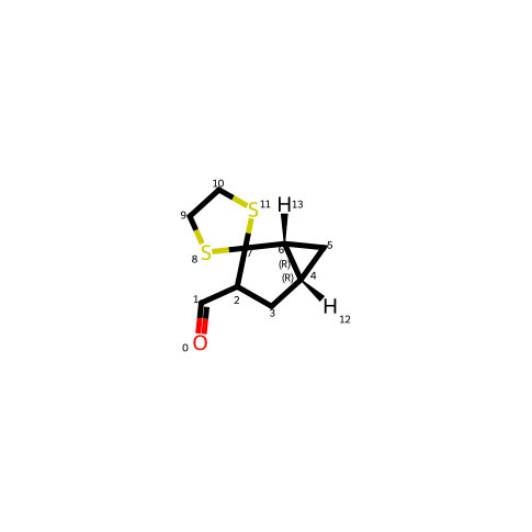 O=CC1C[C@H]2C[C@H]2C12SCCS2